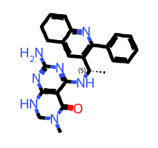 C[C@H](Nc1nc(N)nc2c1C(=O)N(C)CN2)c1cc2c(nc1-c1ccccc1)C=CCC2